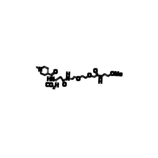 COCCNC(=O)COCCOCCNC(=O)C[C@@H](NC(=O)C1CCN(C)CC1)C(=O)O